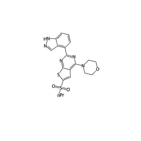 CCCS(=O)(=O)c1cc2c(N3CCOCC3)nc(-c3cccc4[nH]ncc34)nc2s1